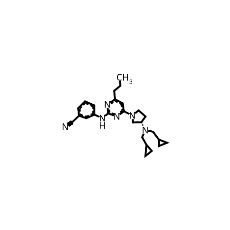 CCCc1cc(N2CC[C@H](N(CC3CC3)CC3CC3)C2)nc(Nc2cccc(C#N)c2)n1